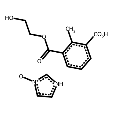 Cc1c(C(=O)O)cccc1C(=O)OCCO.[O-][n+]1cc[nH]c1